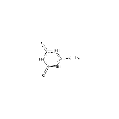 O=c1[nH]c(=O)[nH]c(=S)[nH]1.[Hg]